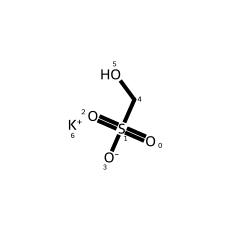 O=S(=O)([O-])CO.[K+]